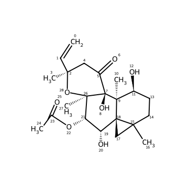 C=C[C@@]1(C)CC(=O)[C@]2(O)[C@@]3(C)[C@@H](O)CCC4(C)C[C@]43[C@H](O)[C@H](OC(C)=O)[C@@]2(C)O1